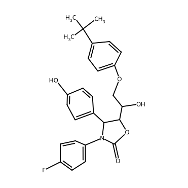 CC(C)(C)c1ccc(OCC(O)C2OC(=O)N(c3ccc(F)cc3)C2c2ccc(O)cc2)cc1